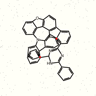 c1ccc(C2=NC(c3cccc4c3sc3c4ccc4oc5cccc(-n6c7ccccc7c7ccccc76)c5c43)=NC(c3ccccc3)N2)cc1